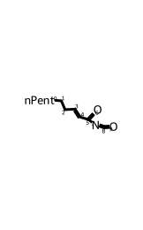 CCCCCCC/C=C/C(=O)N=C=O